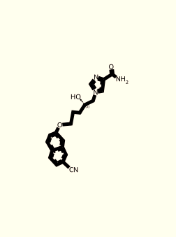 N#Cc1ccc2ccc(OCCC[C@H](O)Cn3cnc(C(N)=O)c3)cc2c1